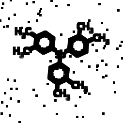 Cc1cc[c]([Sb]([c]2ccc(C)c(C)c2)[c]2ccc(C)c(C)c2)cc1C